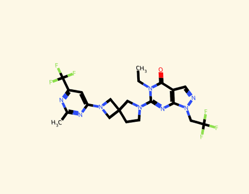 CCn1c(N2CCC3(CN(c4cc(C(F)(F)F)nc(C)n4)C3)C2)nc2c(cnn2CC(F)(F)F)c1=O